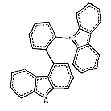 c1ccc(-n2c3ccccc3c3ccccc32)c(-c2cccc3[nH]c4ccccc4c23)c1